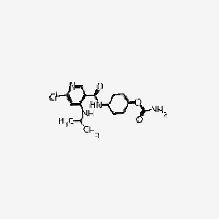 CC(C)Nc1cc(Cl)ncc1C(=O)NC1CCC(OC(N)=O)CC1